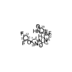 C[C@@H](C(=O)Nc1ccc(Oc2ccc(F)cc2F)cn1)N1CCC(F)(F)[C@@H](c2ccc(=O)[nH]c2)C1